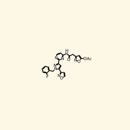 CC(=O)Oc1cc(CC(=O)Nc2ccnc(-c3cc(-c4ccon4)n(Cc4ccccc4F)n3)n2)no1